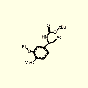 CCOc1cc(C(CC(C)=O)NC(=O)OC(C)(C)C)ccc1OC